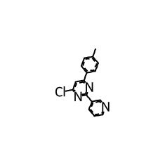 Cc1ccc(-c2cc(Cl)nc(-c3cccnc3)n2)cc1